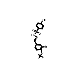 Cc1ccc(S(=O)(=O)NN=Cc2ccc(OC(F)(F)F)c(Br)c2)cc1